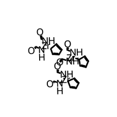 O=C[NH][Zr]([NH]C=O)[CH]1C=CC=C1.O=C[NH][Zr]([NH]C=O)[CH]1C=CC=C1.O=C[NH][Zr]([NH]C=O)[CH]1C=CC=C1